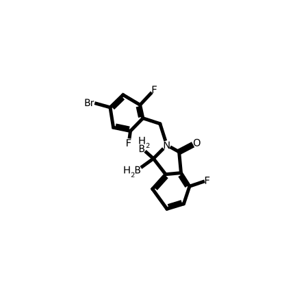 BC1(B)c2cccc(F)c2C(=O)N1Cc1c(F)cc(Br)cc1F